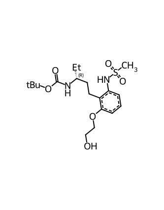 CC[C@H](CCc1c(NS(C)(=O)=O)cccc1OCCO)NC(=O)OC(C)(C)C